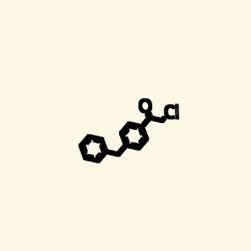 O=C(CCl)c1ccc(Cc2ccccc2)cc1